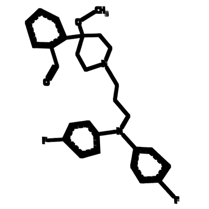 COC1(c2ccccc2C=O)CCN(CCCN(c2ccc(F)cc2)c2ccc(F)cc2)CC1